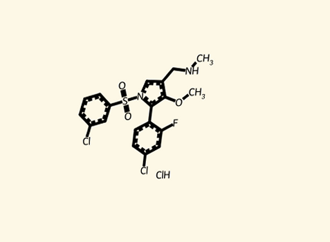 CNCc1cn(S(=O)(=O)c2cccc(Cl)c2)c(-c2ccc(Cl)cc2F)c1OC.Cl